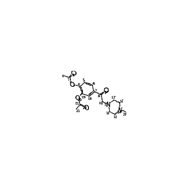 CC(=O)Oc1ccc(C(=O)CN2CCN(C)CC2)cc1OC(C)=O